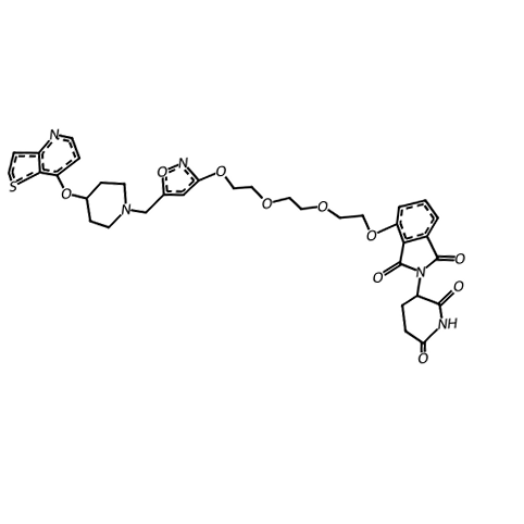 O=C1CCC(N2C(=O)c3cccc(OCCOCCOCCOc4cc(CN5CCC(Oc6ccnc7ccsc67)CC5)on4)c3C2=O)C(=O)N1